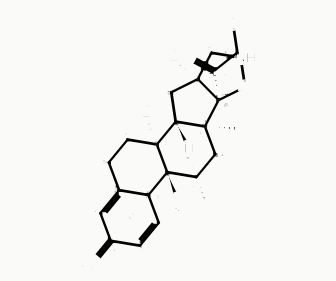 C[C@]12C=CC(=O)C=C1CC[C@@H]1[C@@H]2[C@@H](O)C[C@@]2(C)[C@H]1C[C@H]1CNO[C@]12C(=O)CO